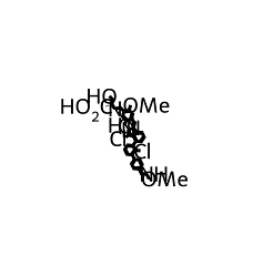 CONCc1ccc(-c2cccc(-c3cccc4c3c(Cl)nn4Cc3cc(OC)c(CN[C@@H](CO)C(=O)O)cc3Cl)c2Cl)cc1